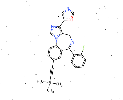 C[Si](C)(C)C#Cc1ccc2c(c1)C(c1ccccc1F)=NCc1c(-c3cnco3)ncn1-2